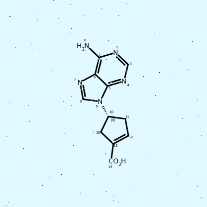 Nc1ncnc2c1ncn2[C@@H]1CC=C(C(=O)O)C1